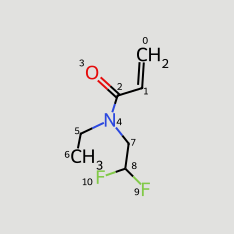 C=CC(=O)N(CC)CC(F)F